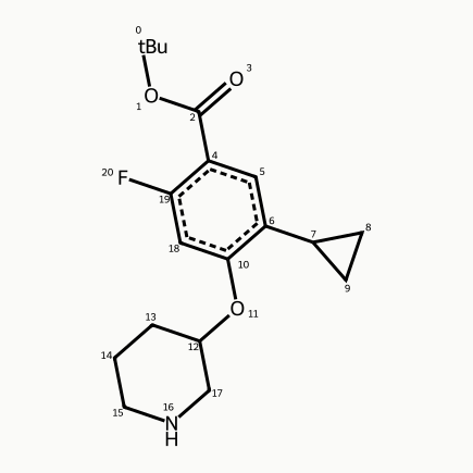 CC(C)(C)OC(=O)c1cc(C2CC2)c(OC2CCCNC2)cc1F